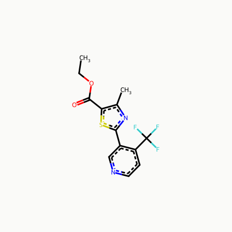 CCOC(=O)c1sc(-c2cnccc2C(F)(F)F)nc1C